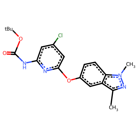 Cc1nn(C)c2ccc(Oc3cc(Cl)cc(NC(=O)OC(C)(C)C)n3)cc12